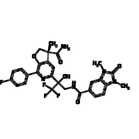 Cn1c(=O)n(C)c2cc(C(=O)NCC(O)(c3cc4c(c(-c5ccc(F)cc5)n3)OC[C@]4(C)C(N)=O)C(F)(F)F)ccc21